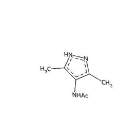 CC(=O)Nc1c(C)n[nH]c1C